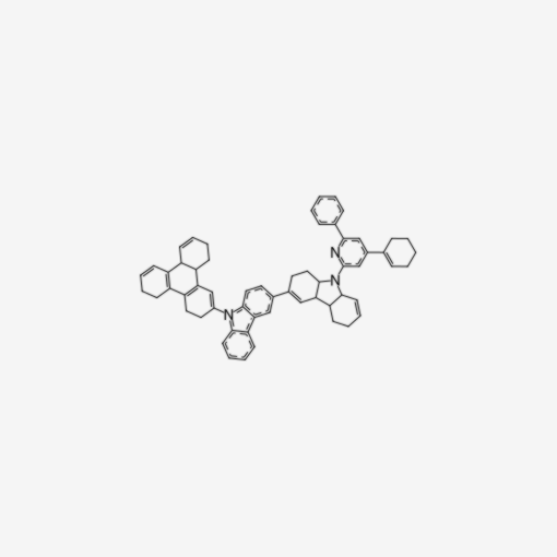 C1=CC2=C(CC1)C1=C(C=C(n3c4ccccc4c4cc(C5=CC6C7CCC=CC7N(c7cc(C8=CCCCC8)cc(-c8ccccc8)n7)C6CC5)ccc43)CC1)C1CCC=CC21